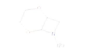 CC(C)(C)N1CC2OCCOC21